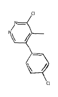 Cc1c(-c2ccc(Cl)cc2)cnnc1Cl